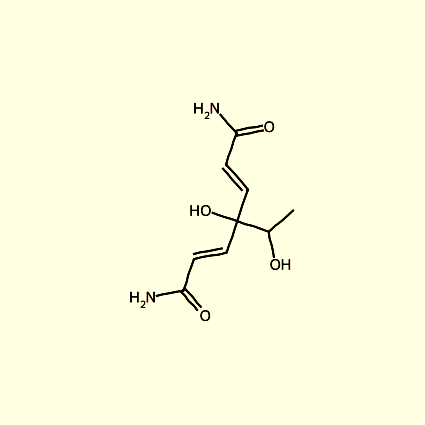 CC(O)C(O)(C=CC(N)=O)C=CC(N)=O